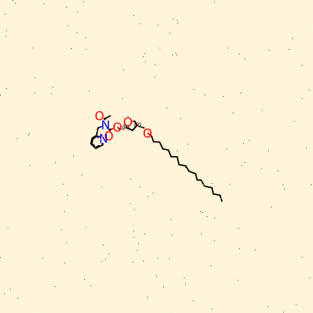 CCCCCCCCCCCCCCCCCCOC[C@@H]1CO[C@@H](COC(=O)N(Cc2ccccn2)C(C)=O)C1